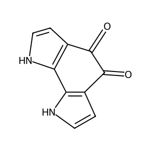 O=C1C(=O)c2cc[nH]c2-c2[nH]ccc21